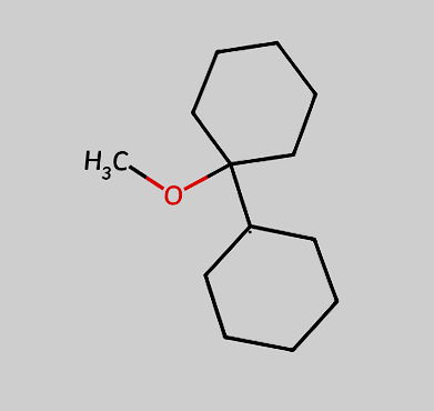 COC1([C]2CCCCC2)CCCCC1